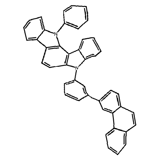 c1ccc(-n2c3ccccc3c3ccc4c(c5ccccc5n4-c4cccc(-c5ccc6ccc7ccccc7c6c5)c4)c32)cc1